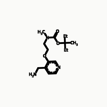 CCC(C)(CC)OC(=O)N(C)CCOc1cnccc1CN